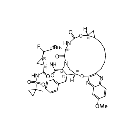 COc1ccc2nc3c(nc2c1)O[C@H]1CN(C(=O)[C@H](C(C)(C)C)NC(=O)O[C@@H]2CC2CCCCC3)[C@H](C(=O)N[C@]2(C(=O)NS(=O)(=O)C3(C)CC3)C[C@H]2C(F)F)[C@@H]1Cc1ccccc1